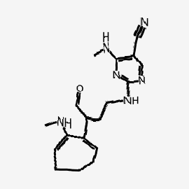 CNC1=CCCCC=C1C(C=O)CCNc1ncc(C#N)c(NC)n1